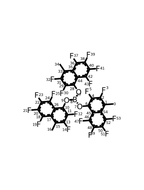 Cc1c(F)c(F)c(OB(Oc2c(F)c(F)c(C)c3c(F)c(F)c(F)c(F)c23)Oc2c(F)c(F)c(C)c3c(F)c(F)c(F)c(F)c23)c2c(F)c(F)c(F)c(F)c12